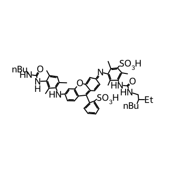 CCCCNC(=O)Nc1c(C)cc(C)c(Nc2ccc3c(-c4ccccc4S(=O)(=O)O)c4cc/c(=N\c5c(C)c(NC(=O)NCC(CC)CCCC)c(C)c(S(=O)(=O)O)c5C)cc-4oc3c2)c1C